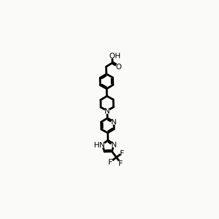 O=C(O)Cc1ccc(C2CCN(c3ccc(-c4nc(C(F)(F)F)c[nH]4)cn3)CC2)cc1